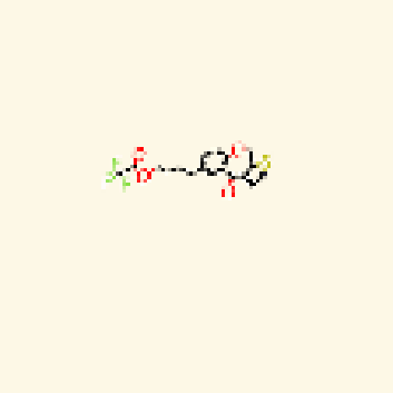 O=C1c2cc(CCCCOC(=O)C(F)(F)F)ccc2OCc2sccc21